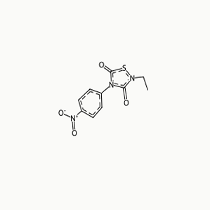 CCn1sc(=O)n(-c2ccc([N+](=O)[O-])cc2)c1=O